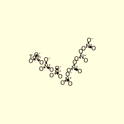 O=[N+]([O-])[O-].O=[N+]([O-])[O-].O=[N+]([O-])[O-].O=[N+]([O-])[O-].O=[N+]([O-])[O-].O=[N+]([O-])[O-].O=[N+]([O-])[O-].[Tc+7]